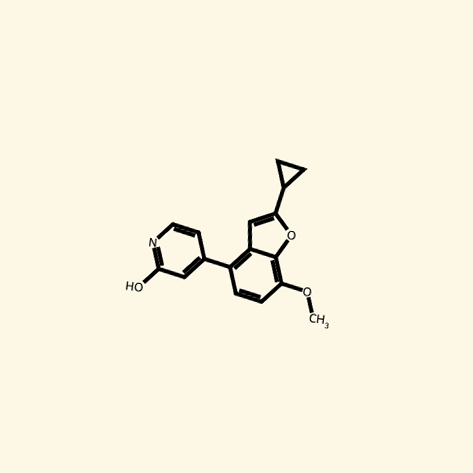 COc1ccc(-c2ccnc(O)c2)c2cc(C3CC3)oc12